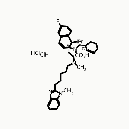 CC(C)C1c2ccc(F)cc2C=C[C@]1(CCN(C)CCCCCc1nc2ccccc2n1C)N(C[C@@H]1C=CCCC1)C(=O)O.Cl.Cl